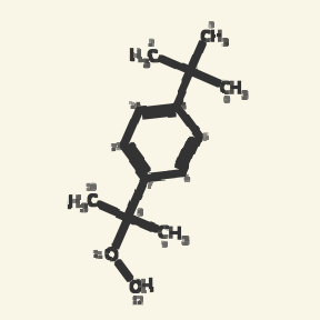 CC(C)(C)c1ccc(C(C)(C)OO)cc1